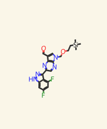 C[Si](C)(C)CCOCn1cc(C=O)c2nc(-c3n[nH]c4cc(F)cc(F)c34)cnc21